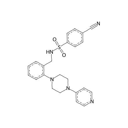 N#Cc1ccc(S(=O)(=O)NCc2ccccc2N2CCN(c3ccncc3)CC2)cc1